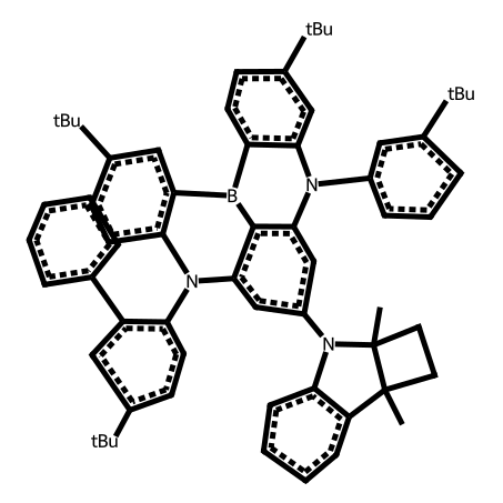 CC(C)(C)c1cccc(N2c3cc(C(C)(C)C)ccc3B3c4cc(C(C)(C)C)ccc4N(c4ccc(C(C)(C)C)cc4-c4ccccc4)c4cc(N5c6ccccc6C6(C)CCC56C)cc2c43)c1